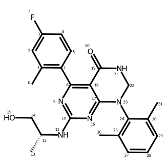 Cc1cc(F)ccc1-c1nc(N[C@H](C)CO)nc2c1C(=O)NCN2c1c(C)cccc1C